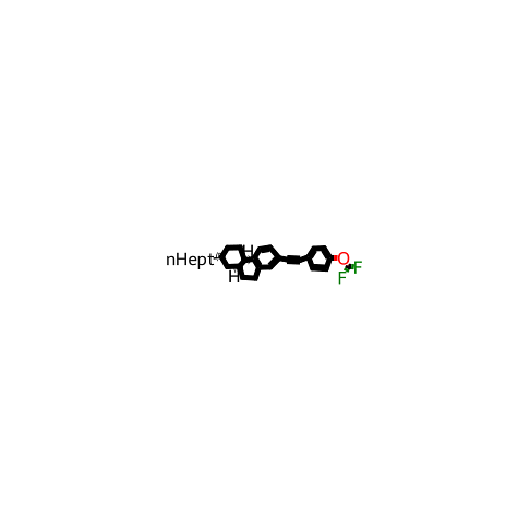 CCCCCCC[C@@H]1CC[C@@H]2c3ccc(C#Cc4ccc(OC(F)F)cc4)cc3CC[C@@H]2C1